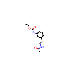 CCOC(=O)Nc1cccc(CCNC(C)=O)c1